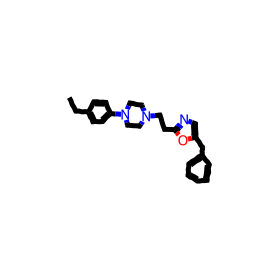 CCc1ccc(N2CCN(CCc3ncc(Cc4ccccc4)o3)CC2)cc1